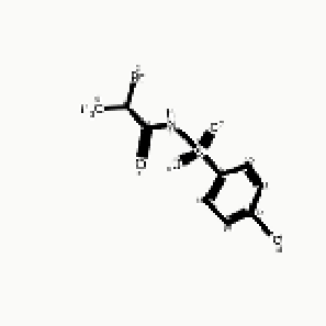 CC(Br)C(=O)NS(=O)(=O)c1ccc(Cl)cc1